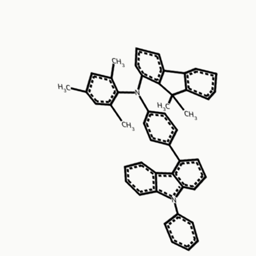 Cc1cc(C)c(N(c2ccc(-c3cccc4c3c3ccccc3n4-c3ccccc3)cc2)c2cccc3c2C(C)(C)c2ccccc2-3)c(C)c1